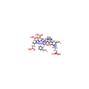 Cc1ccccc1C[C@H](NC(=O)[C@H](CCC(=O)O)NC(=O)[C@H](CC(=O)O)NC(=O)CCC(=O)O)C(=O)N[C@H](C(=O)N[C@@H](CC(C)C)C(=O)NCCCCB(O)O)C(C)(C)C